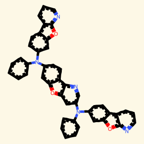 c1ccc(N(c2ccc3c(c2)oc2ncccc23)c2ccc3c(c2)oc2cc(N(c4ccccc4)c4ccc5c(c4)oc4ncccc45)cnc23)cc1